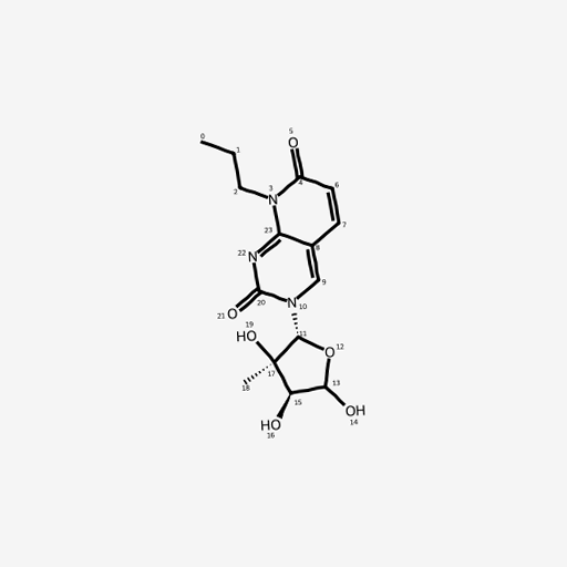 CCCn1c(=O)ccc2cn([C@@H]3OC(O)[C@@H](O)[C@@]3(C)O)c(=O)nc21